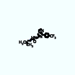 CN(C)C/C=C/C(=O)NCc1cn2ccnc2c(-c2ccc(C(F)(F)F)cc2)n1